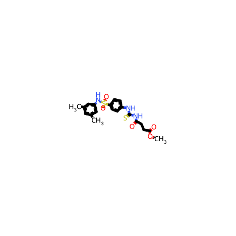 COC(=O)CCC(=O)NC(=S)Nc1ccc(S(=O)(=O)Nc2cc(C)cc(C)c2)cc1